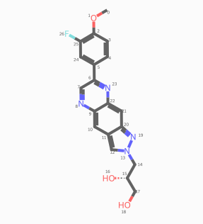 COc1ccc(-c2cnc3cc4cn(C[C@@H](O)CO)nc4cc3n2)cc1F